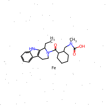 CCC1c2[nH]c3ccccc3c2CCN1C(=O)C1CCCCC1CN(C)C(=O)O.[Fe]